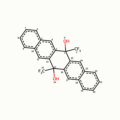 OC1(C(F)(F)F)c2cc3ccccc3cc2C(O)(C(F)(F)F)c2cc3ccccc3cc21